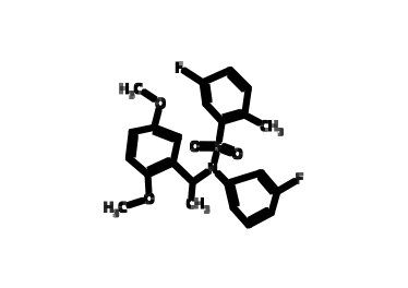 COc1ccc(OC)c(C(C)N(c2cccc(F)c2)S(=O)(=O)c2cc(F)ccc2C)c1